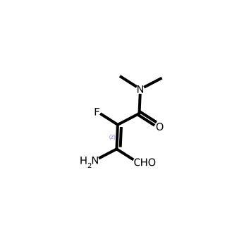 CN(C)C(=O)/C(F)=C(/N)C=O